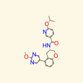 COc1ncc(-c2cccc3c2C[C@H](NC(=O)c2ccc(OC(C)C)nc2)CO3)cn1